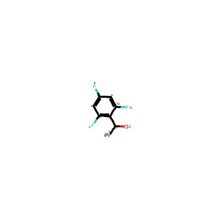 CC(C)C([O])c1c(F)cc(F)cc1F